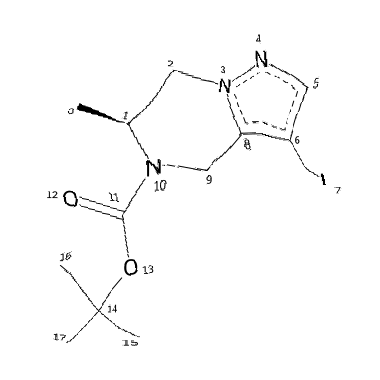 C[C@H]1Cn2ncc(I)c2CN1C(=O)OC(C)(C)C